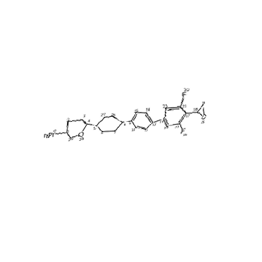 CCCC1CCC(C2CCC(c3ccc(-c4cc(F)c(C5CO5)c(F)c4)cc3)CC2)OC1